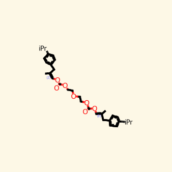 C/C(=C/OC(=O)OCCOCCOC(=O)O/C=C(\C)Cc1ccc(C(C)C)cc1)Cc1ccc(C(C)C)cc1